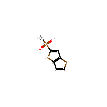 CS(=O)(=O)c1cc2sccc2s1